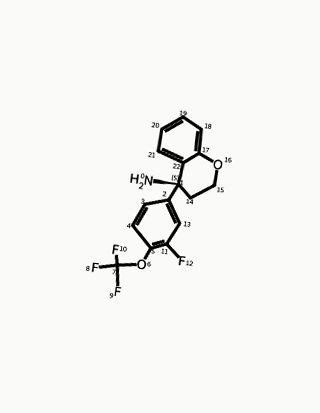 N[C@]1(c2ccc(OC(F)(F)F)c(F)c2)CCOc2ccccc21